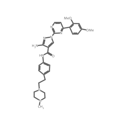 COc1ccc(-c2ccnc(-n3cc(C(=O)Nc4ccc(CCN5CCN(C)CC5)cc4)c(N)n3)n2)c(OC)c1